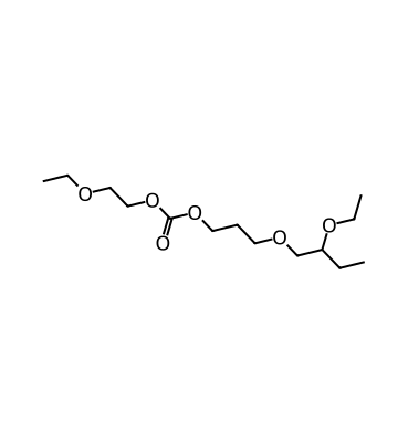 CCOCCOC(=O)OCCCOCC(CC)OCC